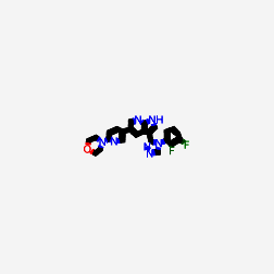 Fc1cccc(-n2cnnc2-c2c[nH]c3ncc(-c4ccc(N5CCOCC5)nc4)cc23)c1F